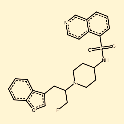 O=S(=O)(NC1CCN(C(CF)Cc2coc3ccccc23)CC1)c1cccc2cnccc12